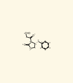 O=CCC(=O)N1C(=O)OC[C@H]1Cc1ccccc1